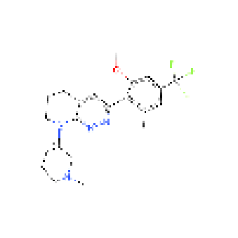 COc1cc(C(F)(F)F)cc(C)c1-c1cc2c(nn1)N([C@@H]1CCCN(C)C1)CCC2